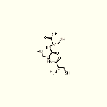 N[C@@H](CS)C(=O)N[C@@H](CO)C(=O)N[C@@H](CS)C(=O)O